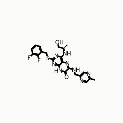 Cc1cnc(CNc2nc3c(N[C@H](C)CO)nc(SCc4cccc(F)c4F)nc3[nH]c2=O)cn1